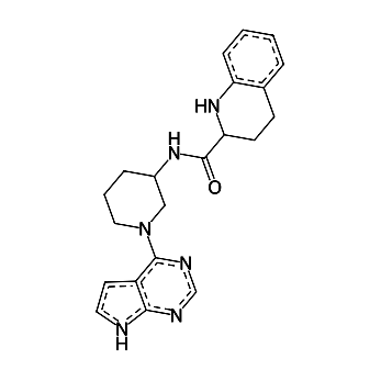 O=C(NC1CCCN(c2ncnc3[nH]ccc23)C1)C1CCc2ccccc2N1